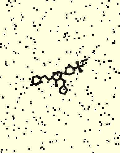 CCCS(=O)(=O)N1CCN(c2cnn(CCc3ccccc3)c(=O)c2OC2CCCC2)CC1